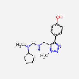 CN(CNCc1c(-c2ccc(O)cc2)nnn1C)C1CCCC1